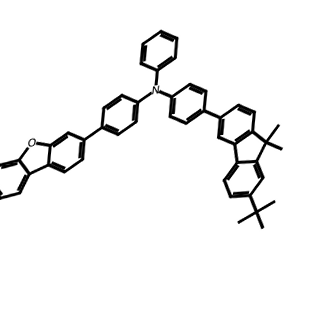 CC(C)(C)c1ccc2c(c1)C(C)(C)c1ccc(-c3ccc(N(c4ccccc4)c4ccc(-c5ccc6c(c5)oc5ccccc56)cc4)cc3)cc1-2